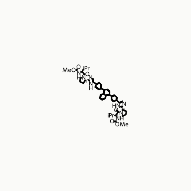 COC(=O)NC(C(=O)N1CCC[C@H]1c1ncc(-c2ccc(-c3ccc(-c4ccc(-c5cnc([C@@H]6CCCN6C(=O)[C@@H](NC(=O)OC)C(C)C)[nH]5)cc4)c4c3C=C=C=C4)cc2)[nH]1)C(C)C